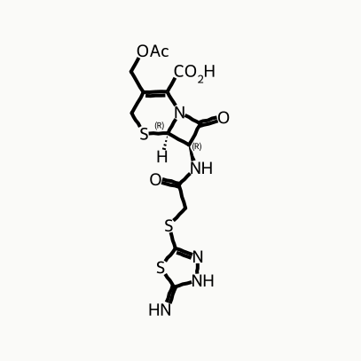 CC(=O)OCC1=C(C(=O)O)N2C(=O)[C@@H](NC(=O)CSc3n[nH]c(=N)s3)[C@H]2SC1